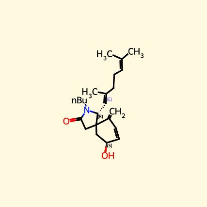 C=C1C=C[C@@H](O)CC12CC(=O)N(CCCC)[C@@H]2/C=C(\C)CCC=C(C)C